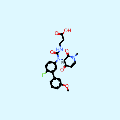 COc1cccc(-c2cc(N(C(=O)NCCC(=O)O)[C@H]3C(=O)C=CN(C)C3=O)ccc2F)c1